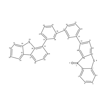 O=c1c2ccccc2sc2ccc(-c3cccc(-c4cccc(-c5cccc6c5sc5ccccc56)c4)c3)cc12